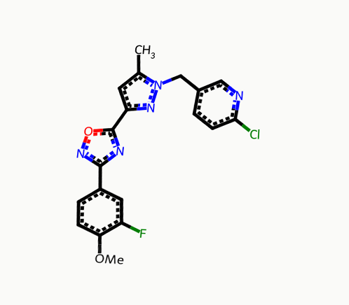 COc1ccc(-c2noc(-c3cc(C)n(Cc4ccc(Cl)nc4)n3)n2)cc1F